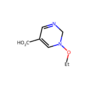 CCON1C=C(C(=O)O)C=NC1